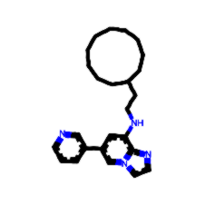 c1cncc(-c2cc(NCCC3CCCCCCCCCC3)c3nccn3c2)c1